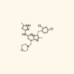 Cc1cc(Nc2cc(CN3CCOCC3)c3nc(C)c(Cc4ccc(Cl)cc4Cl)n3n2)n[nH]1